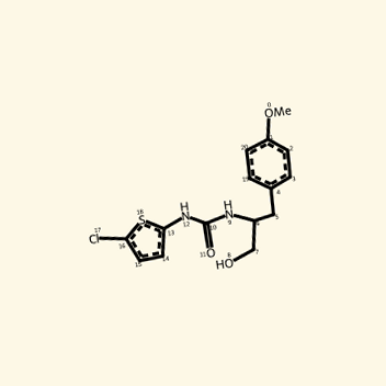 COc1ccc(CC(CO)NC(=O)Nc2ccc(Cl)s2)cc1